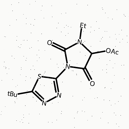 CCN1C(=O)N(c2nnc(C(C)(C)C)s2)C(=O)C1OC(C)=O